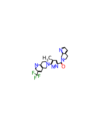 Cc1cc(C(=O)N2CCc3cccnc3C2)nnc1N1CCc2ncc(C(F)(F)F)cc2C1